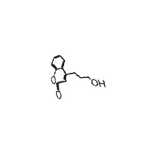 O=c1cc(CCCO)c2ccccc2o1